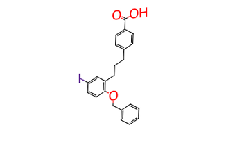 O=C(O)c1ccc(CCCc2cc(I)ccc2OCc2ccccc2)cc1